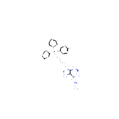 COc1ccc(C(OC[CH]Cn2cnc3c(N=CN(C)C)ncnc32)(c2ccccc2)c2ccc(OC)cc2)cc1